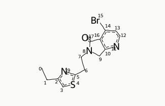 CCc1csc(CCN2Cc3nccc(Br)c3C2=O)n1